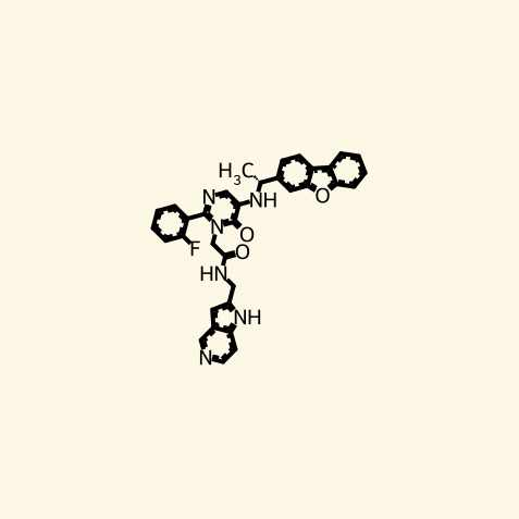 C[C@@H](Nc1cnc(-c2ccccc2F)n(CC(=O)NCc2cc3cnccc3[nH]2)c1=O)c1ccc2c(c1)oc1ccccc12